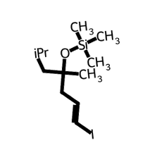 CC(C)CC(C)(C/C=C/I)O[Si](C)(C)C